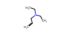 [CH2]CN(CC)CC=C